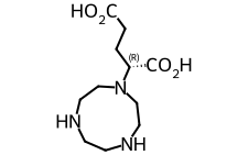 O=C(O)CC[C@H](C(=O)O)N1CCNCCNCC1